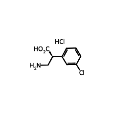 Cl.NC[C@@H](C(=O)O)c1cccc(Cl)c1